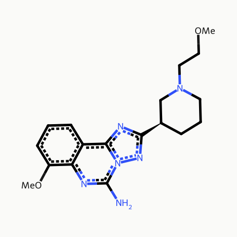 COCCN1CCC[C@@H](c2nc3c4cccc(OC)c4nc(N)n3n2)C1